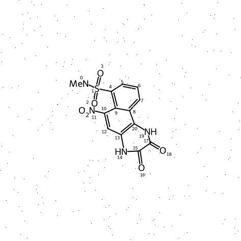 CNS(=O)(=O)c1cccc2c1c([N+](=O)[O-])cc1[nH]c(=O)c(=O)[nH]c12